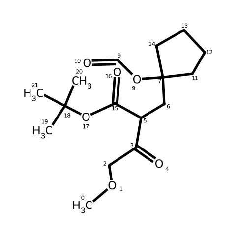 COCC(=O)C(CC1(OC=O)CCCC1)C(=O)OC(C)(C)C